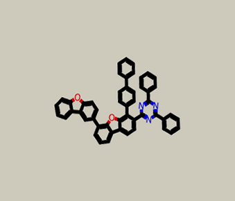 c1ccc(-c2ccc(-c3c(-c4nc(-c5ccccc5)nc(-c5ccccc5)n4)ccc4c3oc3c(-c5ccc6oc7ccccc7c6c5)cccc34)cc2)cc1